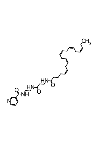 CC/C=C\C/C=C\C/C=C\C/C=C\C/C=C\CCCC(=O)NCCC(=O)NCCNC(=O)c1cccnc1